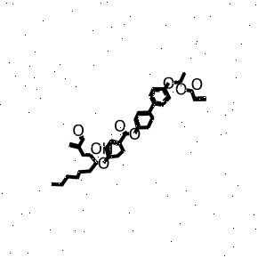 C=CC(=O)OC(C)Oc1ccc(C2=CC=C(OC(=O)C3=CC=C(OC(CCCCCC)C(O)CC(=C)C=O)CC3)CC2)cc1